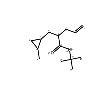 C=CCC(CC1CC1C)C(=O)NC(C)(C)C